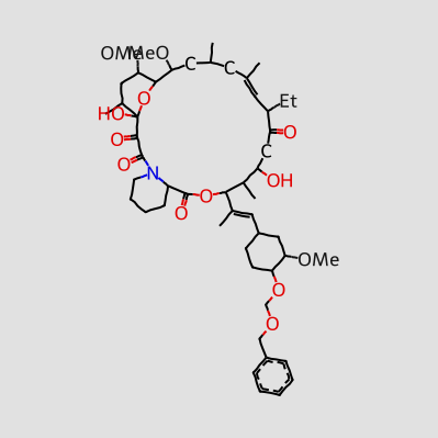 CCC1/C=C(\C)CC(C)CC(OC)C2OC(O)(C(=O)C(=O)N3CCCCC3C(=O)OC(C(C)=CC3CCC(OCOCc4ccccc4)C(OC)C3)C(C)C(O)CC1=O)C(C)CC2OC